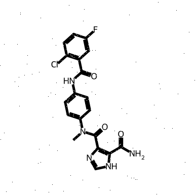 CN(C(=O)c1nc[nH]c1C(N)=O)c1ccc(NC(=O)c2cc(F)ccc2Cl)cc1